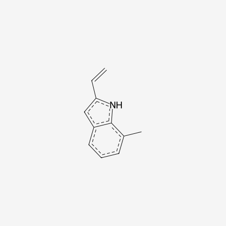 C=Cc1cc2cccc(C)c2[nH]1